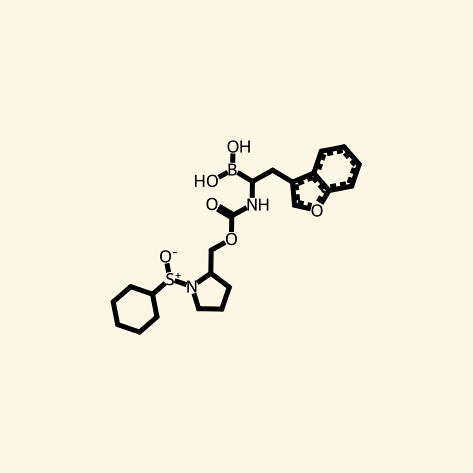 O=C(NC(Cc1coc2ccccc12)B(O)O)OCC1CCCN1[S+]([O-])C1CCCCC1